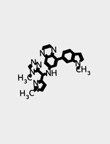 Cn1ccc(C(Nc2cc(-c3ccc4ccn(C)c4c3)c3nccnc3c2)c2nncn2C)n1